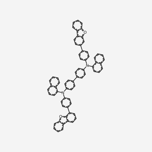 c1ccc2c(N(c3ccc(-c4ccc(N(c5ccc(-c6cccc7c6oc6ccccc67)cc5)c5cccc6ccccc56)cc4)cc3)c3ccc(-c4ccc5c(c4)oc4ccccc45)cc3)cccc2c1